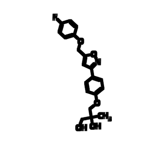 CC(O)(CO)COc1ccc(-c2cc(COc3ccc(F)cc3)on2)cc1